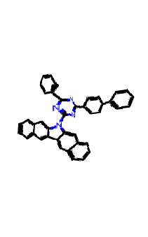 c1ccc(-c2ccc(-c3nc(-c4ccccc4)nc(-n4c5cc6ccccc6cc5c5cc6ccccc6cc54)n3)cc2)cc1